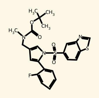 CN(Cc1cc(-c2ccccc2F)n(S(=O)(=O)c2ccc3scnc3c2)c1)C(=O)OC(C)(C)C